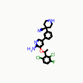 CC(Oc1cc(-c2cccc(C3(C#N)CCNCC3)c2)cnc1N)c1c(Cl)ccc(F)c1Cl